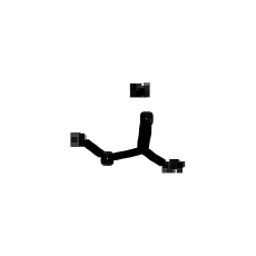 CCCC(=O)OCC.[Nd]